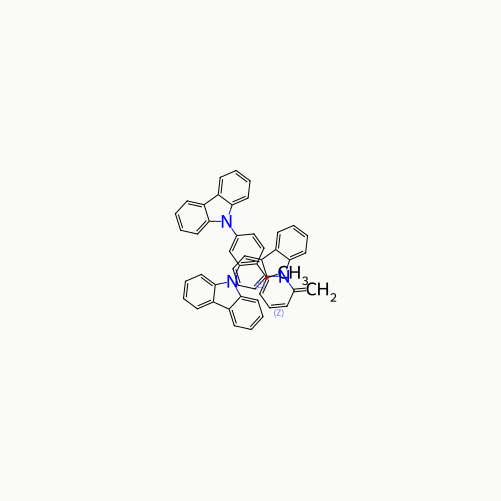 C=C(/C=C\C=C(/C)c1ccc(-n2c3ccccc3c3ccccc32)cc1-n1c2ccccc2c2ccccc21)n1c2ccccc2c2ccccc21